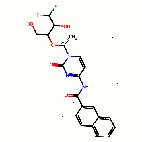 C[C@@H](OC(CO)C(O)C(F)F)n1ccc(NC(=O)c2ccc3ccccc3c2)nc1=O